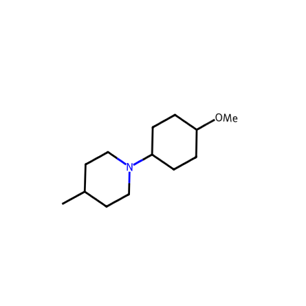 COC1CCC(N2CCC(C)CC2)CC1